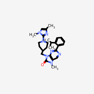 Cc1cn(C)c(N2CCC(Cn3c(=O)n(C)c4cnc(-c5ccccc5C(C)C)nc43)CC2)n1